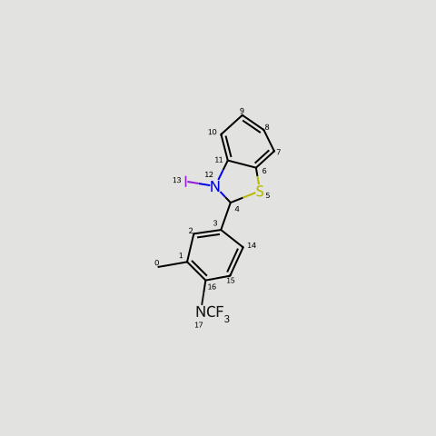 Cc1cc(C2Sc3ccccc3N2I)ccc1NC(F)(F)F